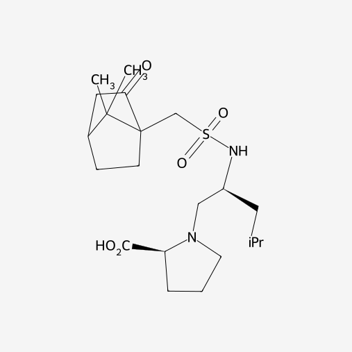 CC(C)C[C@@H](CN1CCC[C@H]1C(=O)O)NS(=O)(=O)CC12CCC(CC1=O)C2(C)C